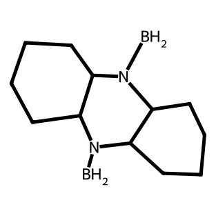 BN1C2CCCCC2N(B)C2CCCCC21